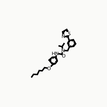 CCCCCCOc1ccc(NC(=O)N(Cc2cccc(-c3nccs3)c2)C(C)C)cc1